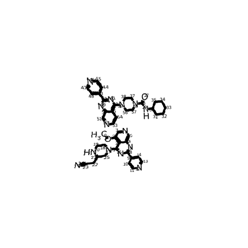 COc1cncc2nc(-c3ccncc3)nc(N3CCNC(CC#N)C3)c12.O=C(NC1CCCCC1)N1CCN(c2nc(-c3ccncc3)nc3cnccc23)CC1